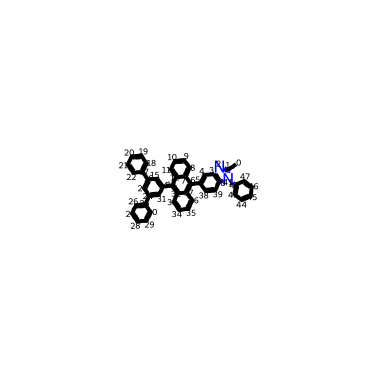 Cc1nc2cc(-c3c4ccccc4c(-c4cc(-c5ccccc5)cc(-c5ccccc5)c4)c4ccccc34)ccc2n1-c1ccccc1